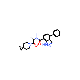 C[C@H](NC(=O)c1ccc(-c2ccccc2)c2cn[nH]c12)C(=O)N1CCC2(CC1)CC2